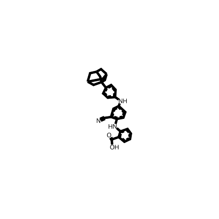 N#Cc1cc(Nc2ccc(C34CC5CC(CC(C5)C3)C4)cc2)ccc1Nc1ccccc1C(=O)O